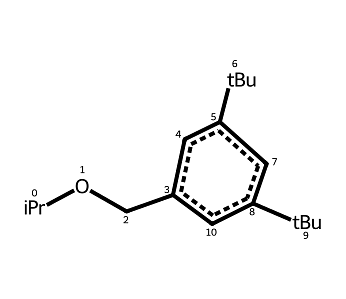 CC(C)OCc1cc(C(C)(C)C)cc(C(C)(C)C)c1